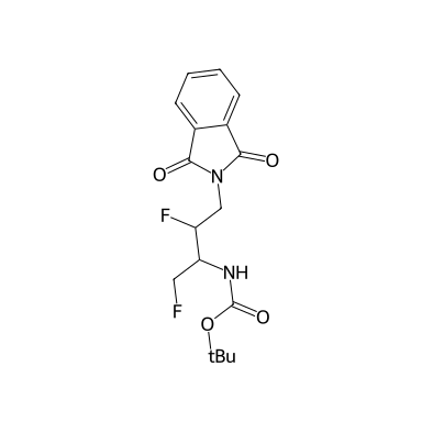 CC(C)(C)OC(=O)NC(CF)C(F)CN1C(=O)c2ccccc2C1=O